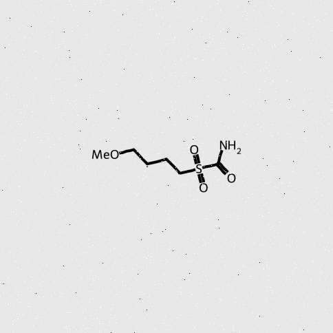 COC[CH]CCS(=O)(=O)C(N)=O